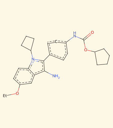 CCOc1ccc2c(c1)c(N)c(-c1ccc(NC(=O)OC3CCCC3)cc1)n2C1CCC1